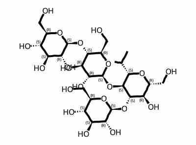 CC(C)[C@@H]1O[C@H](CO)[C@@H](O)[C@H](O[C@@H]2O[C@H](CO)[C@@H](O)[C@H](O)[C@H]2O)[C@H]1O[C@@H]1O[C@H](CO)[C@@H](O[C@@H]2O[C@H](CO)[C@@H](O)[C@H](O)[C@H]2O)[C@H](O)[C@H]1O